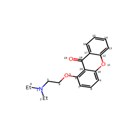 CCN(CC)CCOc1cccc2oc3ccccc3c(=O)c12